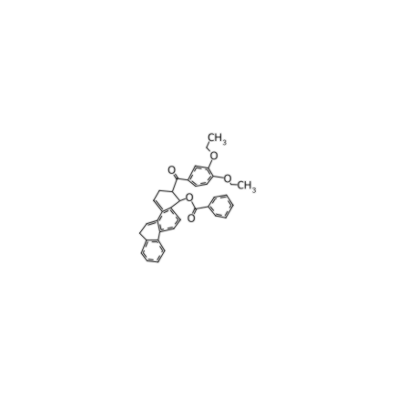 CCOc1ccc(C(=O)C2CC=c3c(ccc4c3=CCc3ccccc3-4)C2OC(=O)c2ccccc2)cc1OCC